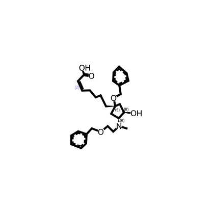 CN(CCOCc1ccccc1)[C@@H]1C[C@](CCCC/C=C\C(=O)O)(OCc2ccccc2)C[C@H]1O